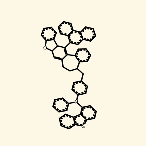 C1=C2CCC(Cc3ccc(N(c4ccccc4)c4cccc5sc6ccccc6c45)cc3)c3ccccc3C2=C(c2cc3ccccc3c3ccccc23)C2c3ccccc3OC12